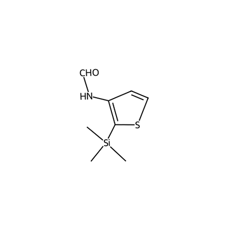 C[Si](C)(C)c1sccc1NC=O